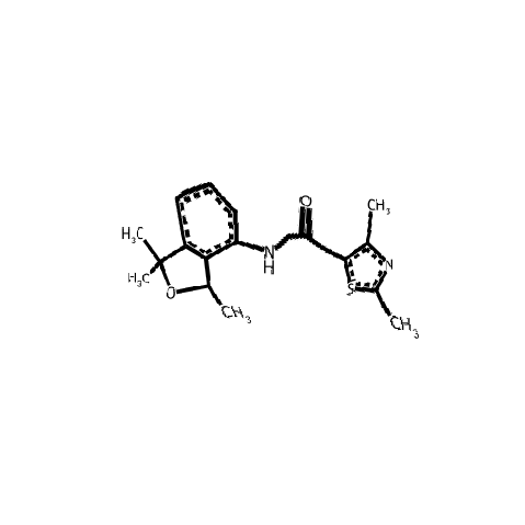 Cc1nc(C)c(C(=O)Nc2cccc3c2C(C)OC3(C)C)s1